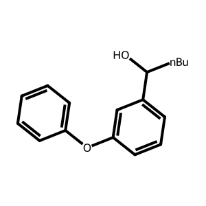 CCCCC(O)c1cccc(Oc2ccccc2)c1